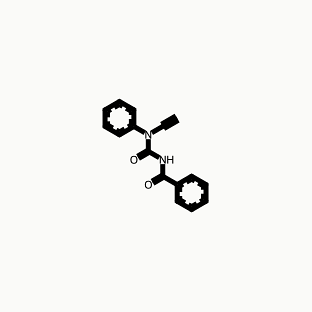 C#CN(C(=O)NC(=O)c1ccccc1)c1ccccc1